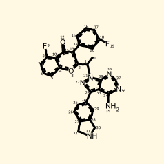 CC(c1oc2cccc(F)c2c(=O)c1-c1cccc(F)c1)n1nc(-c2ccc3c(c2)CNC3)c2c(N)ncnc21